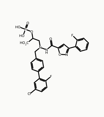 O=C(NN(Cc1ccc(-c2cc(Cl)ccc2F)cc1)CC(OP(=O)(O)O)C(=O)O)c1cc(-c2ccccc2F)no1